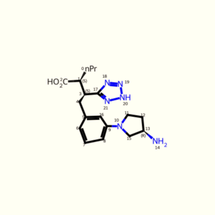 CCC[C@H](C(=O)O)[C@H](Cc1cccc(N2CC[C@@H](N)C2)c1)c1nn[nH]n1